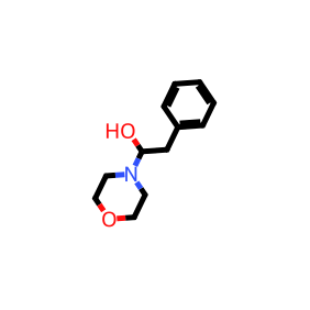 OC(Cc1ccccc1)N1CCOCC1